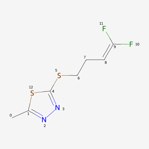 Cc1nnc(SCCC=C(F)F)s1